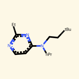 CCCN(CCC(C)(C)C)c1ccnc(CC)n1